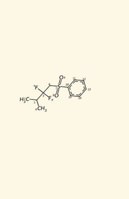 CC(C)C(F)(F)CS(=O)(=O)c1ccccc1